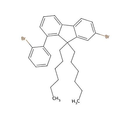 CCCCCCC1(CCCCCC)c2cc(Br)ccc2-c2cccc(-c3ccccc3Br)c21